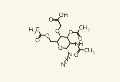 CC(=O)NC1[C@H](N=[N+]=[N-])OC(COC(C)=O)[C@@H](OCC(=O)O)[C@H]1OC(C)=O